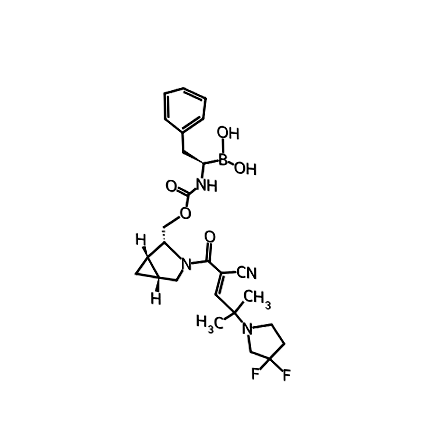 CC(C)(C=C(C#N)C(=O)N1C[C@@H]2C[C@@H]2[C@@H]1COC(=O)N[C@@H](Cc1ccccc1)B(O)O)N1CCC(F)(F)C1